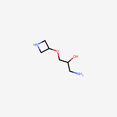 NCC(O)COC1CNC1